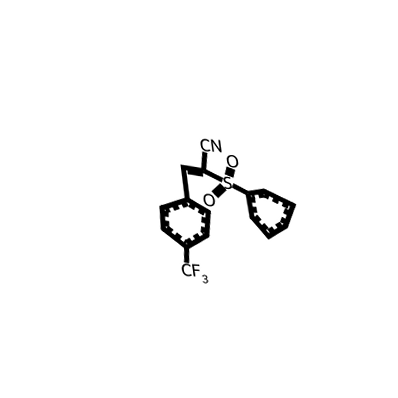 N#CC(=Cc1ccc(C(F)(F)F)cc1)S(=O)(=O)c1ccccc1